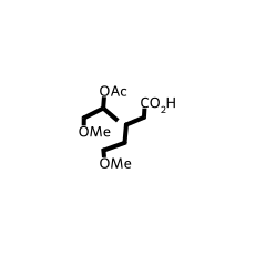 COCC(C)OC(C)=O.COCCCCC(=O)O